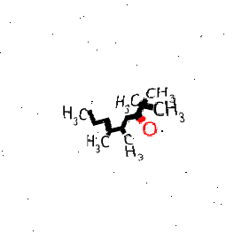 CCC/C=C(\C)C(C)CC(=O)C(C)(C)C